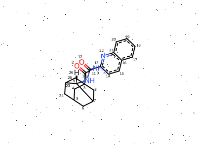 NC(=O)[C@]12CC3CC(C1)[C@@H](NC(=O)c1ccc4ccccc4n1)C(C3)C2